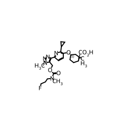 CN(CCCF)C(=O)OCc1c(-c2ccc(O[C@H]3CCC[C@](C)(C(=O)O)C3)c(C3CC3)n2)nnn1C